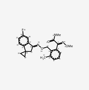 CNC(=O)/C(=N/OC)c1cccc(C)c1CO/N=C1\CC2(CC2)c2ccc(F)cc21